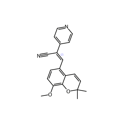 COc1ccc(/C=C(\C#N)c2ccncc2)c2c1OC(C)(C)C=C2